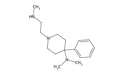 CNCCN1CCC(c2ccccc2)(N(C)C)CC1